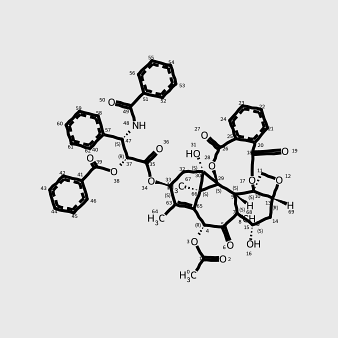 CC(=O)O[C@H]1C(=O)[C@@]2(C)[C@H]3[C@@]4(CO[C@@H]4C[C@@H]2O)OC(=O)c2ccccc2C(=O)O[C@@]32[C@]3(O)C[C@H](OC(=O)[C@H](OC(=O)c4ccccc4)[C@@H](NC(=O)c4ccccc4)c4ccccc4)C(C)=C1[C@@]32C